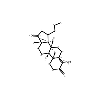 CCCC1CC(=O)[C@@]2(C)CC[C@@H]3[C@@H](CCC4=C(O)C(=O)CC[C@@]43C)[C@H]12